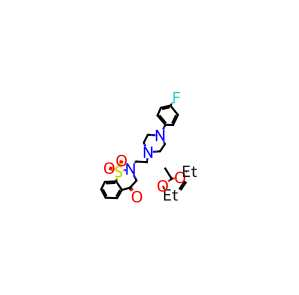 C=C.CCOC(C)OCC.O=C1CN(CCN2CCN(c3ccc(F)cc3)CC2)S(=O)(=O)c2ccccc21